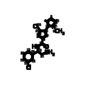 Cn1nccc1-c1cc(C(=O)NC(CN)c2cccc(Cl)c2)sc1Cl